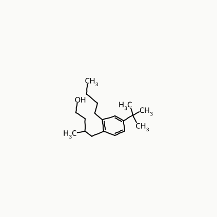 CCCCc1cc(C(C)(C)C)ccc1CC(C)CCO